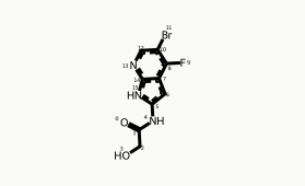 O=C(CO)Nc1cc2c(F)c(Br)cnc2[nH]1